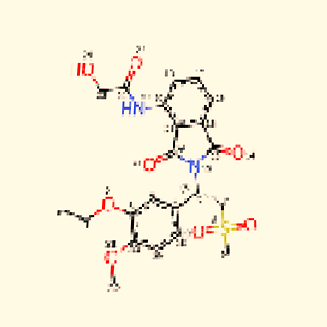 CCOc1cc([C@@H](CS(C)(=O)=O)N2C(=O)c3cccc(NC(=O)CO)c3C2=O)ccc1OC